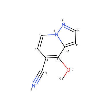 COc1c(C#N)ccn2nccc12